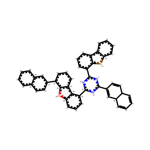 C1=CC2C=CC(c3nc(-c4cccc5c4sc4ccccc45)nc(-c4cccc5oc6c(-c7ccc8ccccc8c7)cccc6c45)n3)=CC2C=C1